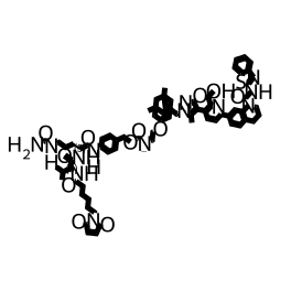 Cc1c(-c2ccc(-c3ccc4c(c3)N(C(=O)Nc3nc5ccccc5s3)CCC4)nc2C(=O)O)cnn1CC12CC3(C)CC(C)(C1)CC(OCCN(C)C(=O)OCc1ccc(NC(=O)[C@H](CCCNC(N)=O)NC(=O)[C@@H](NC(=O)CCCCCN4C(=O)C=CC4=O)C(C)C)cc1)(C3)C2